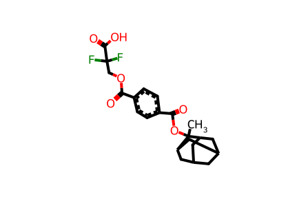 CC1(OC(=O)c2ccc(C(=O)OCC(F)(F)C(=O)O)cc2)C2CC3CC(C2)CC1C3